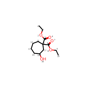 CCOC(=O)C1(C(=O)OCC)CCCCC(O)C1